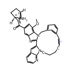 COc1cc(C(=O)N2C[C@H]3CC[C@@H]2[C@@H]3N)cc2nc3n(c12)Cc1cccc(c1)/C=C\CCCCn1c-3cc2cccnc21